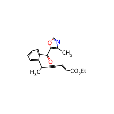 CCOC(=O)C=CC#CC(C)c1ccccc1C(=O)c1ocnc1C